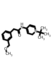 COCc1cccc(CC(=O)NC2=CCN(C(C)(C)C)C=C2)c1